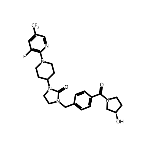 O=C(c1ccc(CN2CCN(C3CCN(c4ncc(C(F)(F)F)cc4F)CC3)C2=O)cc1)N1CC[C@@H](O)C1